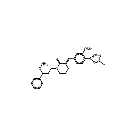 C=C1/C(=C/c2ccc(-n3cnc(C)c3)c(OC)c2)CCCN1CCC(ON)c1ccccc1